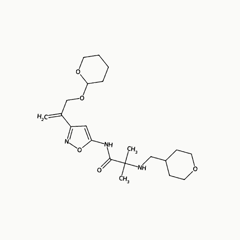 C=C(COC1CCCCO1)c1cc(NC(=O)C(C)(C)NCC2CCOCC2)on1